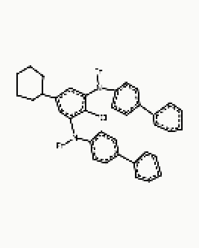 CCN(c1ccc(-c2ccccc2)cc1)c1cc(C2CCCCC2)cc(N(CC)c2ccc(-c3ccccc3)cc2)c1Cl